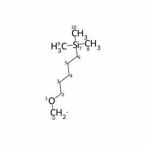 [CH2]OCCCCC[Si](C)(C)C